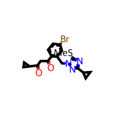 CSc1nc(C2CC2)nn1Cc1cc(Br)ccc1C(=O)CC(=O)C1CC1